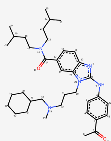 CC(=O)c1ccc(Nc2nc3ccc(C(=O)N(CCC(C)C)CCC(C)C)cc3n2CCCN(C)CC2CCCCC2)cc1